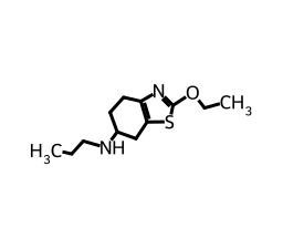 CCCNC1CCc2nc(OCC)sc2C1